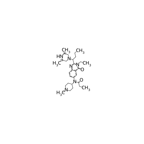 CCCC(c1nc2ccc(N(C(=O)CC)C3CCN(C)CC3)cc2c(=O)n1CC)N1C[C@@H](C)N[C@@H](C)C1